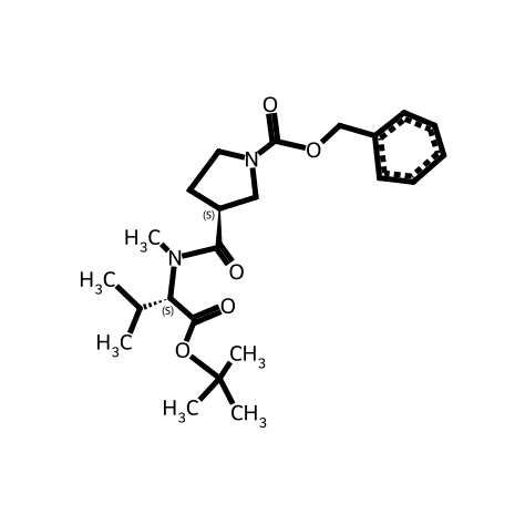 CC(C)[C@@H](C(=O)OC(C)(C)C)N(C)C(=O)[C@H]1CCN(C(=O)OCc2ccccc2)C1